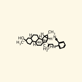 C[C@H]1[C@@H]2[C@H]1[C@H](C(=O)CNc1ccccc1C#N)[C@@]1(C)CC[C@H]3[C@@H](CC[C@@H]4C[C@](C)(O)CC[C@@H]43)[C@H]21